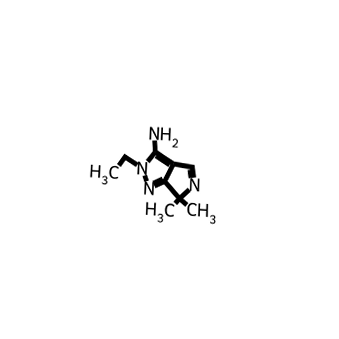 CCn1nc2c(c1N)C=NC2(C)C